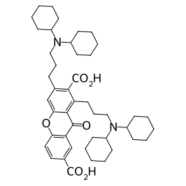 O=C(O)c1ccc2oc3cc(CCCN(C4CCCCC4)C4CCCCC4)c(C(=O)O)c(CCCN(C4CCCCC4)C4CCCCC4)c3c(=O)c2c1